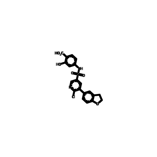 O=C(O)c1ccc(NS(=O)(=O)c2cnc(Cl)c(-c3ccc4c(c3)CCO4)c2)cc1O